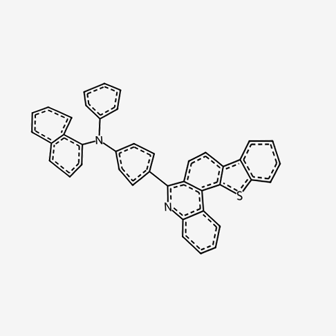 c1ccc(N(c2ccc(-c3nc4ccccc4c4c3ccc3c5ccccc5sc34)cc2)c2cccc3ccccc23)cc1